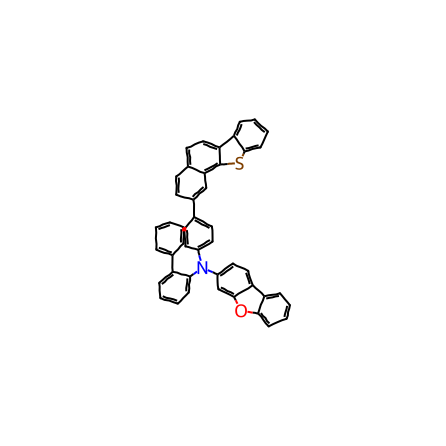 c1ccc(-c2ccccc2N(c2ccc(-c3ccc4ccc5c6ccccc6sc5c4c3)cc2)c2ccc3c(c2)oc2ccccc23)cc1